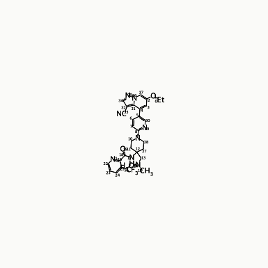 CCOc1cc(-c2ccc(N3CCC(CN(C)C)(NC(=O)c4ncccc4C(F)(F)F)CC3)nc2)c2c(C#N)cnn2c1